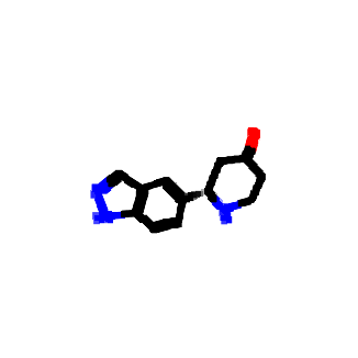 O=C1CCN[C@H](c2ccc3[nH]ncc3c2)C1